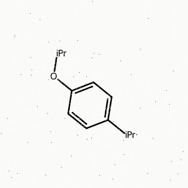 C[C](C)c1ccc(OC(C)C)cc1